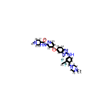 CCN1CCN(Cc2ccc(Nc3nc4ccc(Oc5ccnc(NC(=O)C6CCN(C)CC6)c5)cc4n3C)cc2C(C)(F)F)CC1